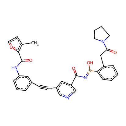 Cc1ccoc1C(=O)Nc1cccc(C#Cc2cncc(C(=O)N=S(O)c3ccccc3CC(=O)N3CCCC3)c2)c1